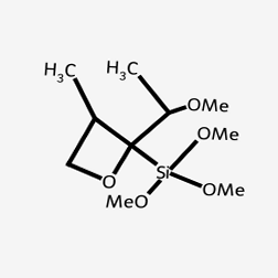 COC(C)C1([Si](OC)(OC)OC)OCC1C